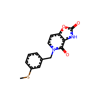 CSc1cccc(Cn2ccc3oc(=O)[nH]c3c2=O)c1